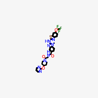 Cn1c(Nc2nc3ccc(OC(F)(F)F)cc3s2)nc2cc(C(=O)NCC(=O)N3CCC(Oc4ncccn4)CC3)ccc21